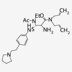 C=CCN(CC=C)C(=O)C(N)[C@H](SNc1ccc(CCN2CCCC2)cc1)N(CC)C(C)=O